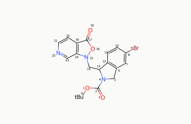 CC(C)(C)OC(=O)N1Cc2cc(Br)ccc2C1Cn1oc(=O)c2ccncc21